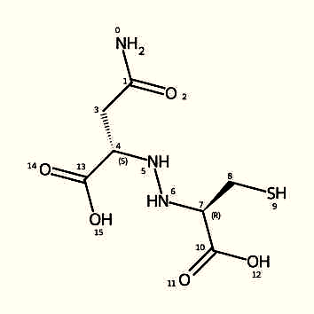 NC(=O)C[C@H](NN[C@@H](CS)C(=O)O)C(=O)O